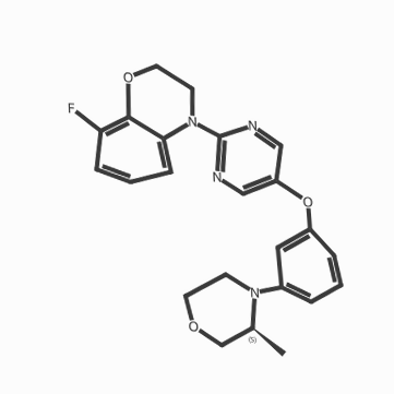 C[C@H]1COCCN1c1cccc(Oc2cnc(N3CCOc4c(F)cccc43)nc2)c1